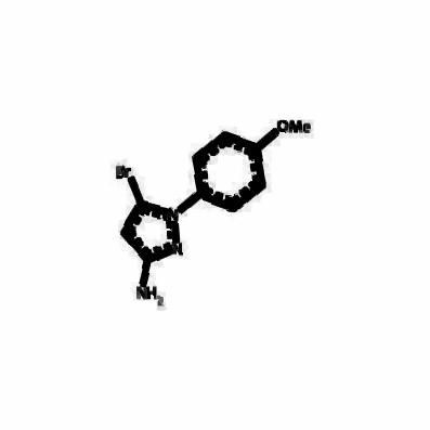 COc1ccc(-n2nc(N)cc2Br)cc1